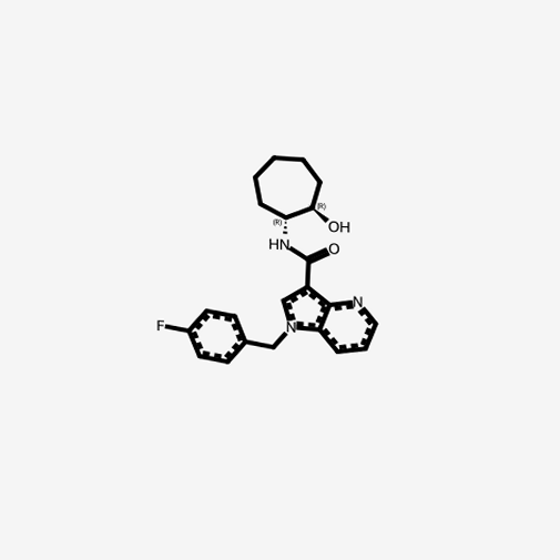 O=C(N[C@@H]1CCCCC[C@H]1O)c1cn(Cc2ccc(F)cc2)c2cccnc12